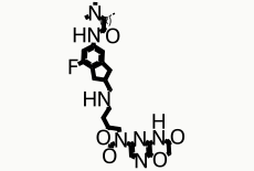 C[C@H](C(=O)Nc1cc(F)c2c(c1)CC(CNCCC1CN(c3cnc4c(n3)NC(=O)CO4)C(=O)O1)C2)N(C)C